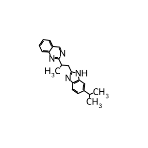 CC(C)c1ccc2nc(CC(C)c3ncc4ccccc4n3)[nH]c2c1